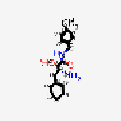 Cc1ccc(CNC(=O)C(O)[C@H](N)CC2CCCCC2)cc1